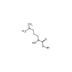 CC(C)OC(=O)N(O)CCCN(C)C